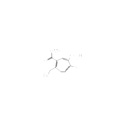 COC(=O)C1=C(CBr)CC=C(Br)C(C(=O)O)=C1